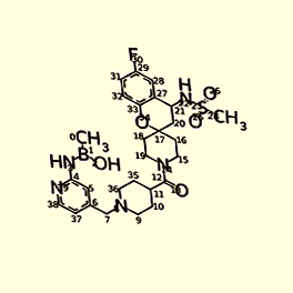 CB(O)Nc1cc(CN2CCC(C(=O)N3CCC4(CC3)CC(NS(C)(=O)=O)c3cc(F)ccc3O4)CC2)ccn1